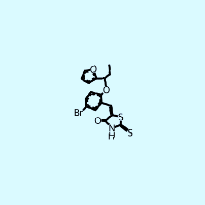 CCC(Oc1ccc(Br)cc1C=C1SC(=S)NC1=O)c1ccco1